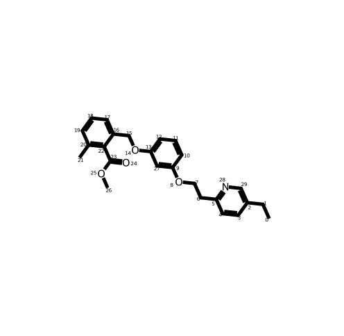 CCc1ccc(CCOc2cccc(OCc3cccc(C)c3C(=O)OC)c2)nc1